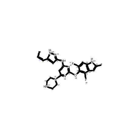 C/C=C\c1cc(Nc2cc(N3CCNCC3)nc(Oc3c(F)cc4[nH]c(C)cc4c3F)n2)n[nH]1